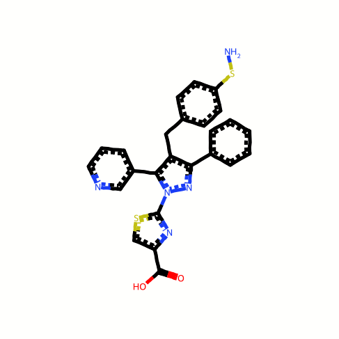 NSc1ccc(Cc2c(-c3ccccc3)nn(-c3nc(C(=O)O)cs3)c2-c2cccnc2)cc1